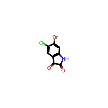 O=C1Nc2cc(Br)c(Cl)cc2C1=O